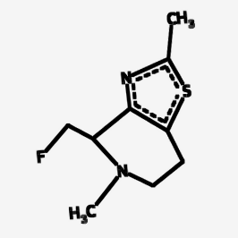 Cc1nc2c(s1)CCN(C)C2CF